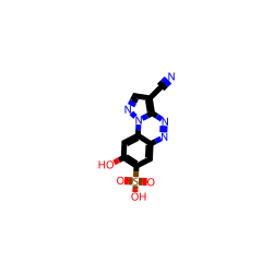 N#Cc1cnn2c1nnc1cc(S(=O)(=O)O)c(O)cc12